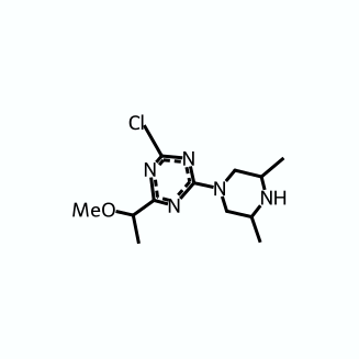 COC(C)c1nc(Cl)nc(N2CC(C)NC(C)C2)n1